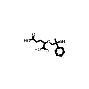 CC(S)(COC(CCC(=O)O)C(=O)O)c1ccccc1